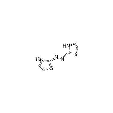 c1csc(=NN=c2[nH]ccs2)[nH]1